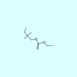 CCOC(=O)OCC(C)(C)CC